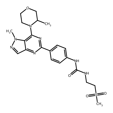 CC1COCCN1c1nc(-c2ccc(NC(=O)NCCS(C)(=O)=O)cc2)nc2cnn(C)c12